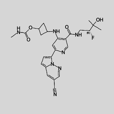 CNC(=O)OC1CC(Nc2cc(-c3ccc4cc(C#N)cnn34)ncc2C(=O)NC[C@@H](F)C(C)(C)O)C1